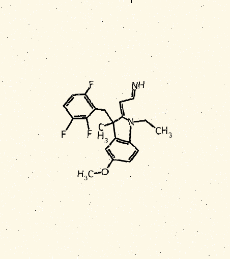 CCN1/C(=C\C=N)C(C)(Cc2c(F)ccc(F)c2F)c2cc(OC)ccc21